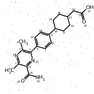 Cc1nc(C)c(-c2ccc(C3CCC(CC(=O)O)CC3)cc2)nc1C(N)=O